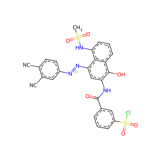 CS(=O)(=O)Nc1cccc2c(O)c(NC(=O)c3cccc(S(=O)(=O)Cl)c3)cc(/N=N/c3ccc(C#N)c(C#N)c3)c12